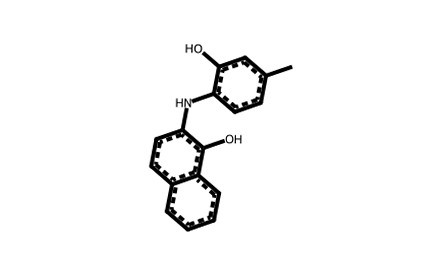 Cc1ccc(Nc2ccc3ccccc3c2O)c(O)c1